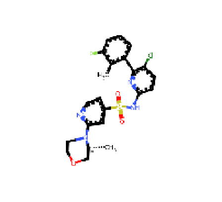 Cc1c(F)cccc1-c1nc(NS(=O)(=O)c2ccnc(N3CCOC[C@H]3C)c2)ccc1Cl